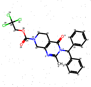 Cc1nc2c(c(=O)n1C(c1ccccc1)c1ccccc1)CCN(C(=O)OCC(Cl)(Cl)Cl)C2